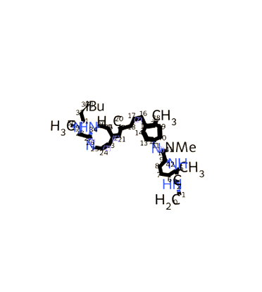 C=CNCC1(C)CCCC(/C(=N/C2=C=CC(/C=C\CC(=C)/C=C3/C=C\C/N=C(/CN(C)CC[C@H](C)CC)NCC3)=C(C)C=C2)NC)N1